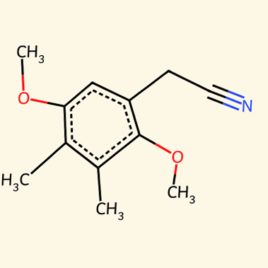 COc1cc(CC#N)c(OC)c(C)c1C